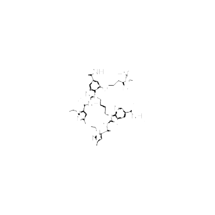 CCn1nc(C)cc1C(=O)/N=c1\sc2cc(C(N)=O)cnc2n1C/C=C/Cn1c(NC(=O)c2cc(C)nn2CC)nc2cc(C(N)=O)cc(OCCCC(=O)N(C)NC)c21